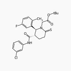 Cc1ccc(F)cc1[C@@H]1[C@@H](C(=O)Nc2cccc(Cl)c2)CCC(=S)N1CC(=O)OC(C)(C)C